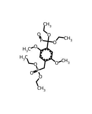 CCOC(OCC)(P=O)c1cc(OC)c(CP(=O)(OCC)OCC)cc1OC